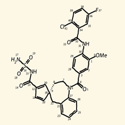 COc1cc(C(=O)N2CC[C@@]3(C=CC(C(=O)NS(N)(=O)=O)=C3)Cc3ccccc32)ccc1NC(=O)c1cc(F)ccc1Cl